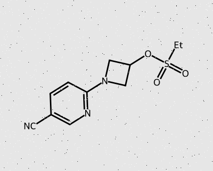 CCS(=O)(=O)OC1CN(c2ccc(C#N)cn2)C1